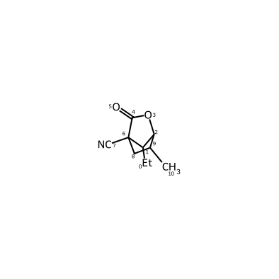 CCC1C2OC(=O)C1(C#N)CC2C